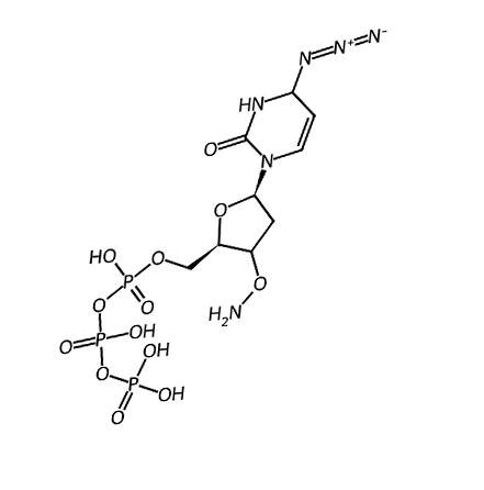 [N-]=[N+]=NC1C=CN([C@H]2CC(ON)[C@@H](COP(=O)(O)OP(=O)(O)OP(=O)(O)O)O2)C(=O)N1